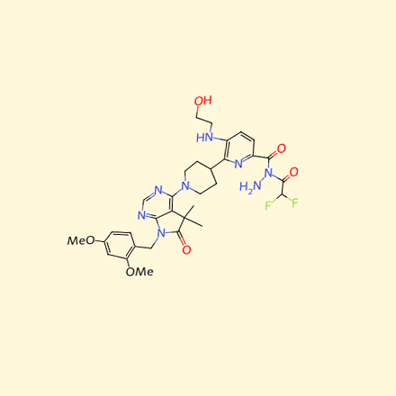 COc1ccc(CN2C(=O)C(C)(C)c3c(N4CCC(c5nc(C(=O)N(N)C(=O)C(F)F)ccc5NCCO)CC4)ncnc32)c(OC)c1